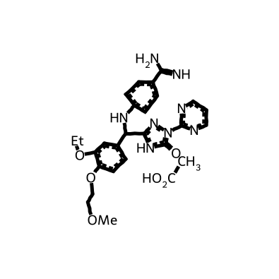 CC(=O)O.CCOc1cc(C(Nc2ccc(C(=N)N)cc2)c2nn(-c3ncccn3)c(=O)[nH]2)ccc1OCCOC